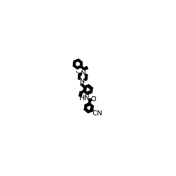 C=Cc1c(CN2CCN(C(=C)C3CCCCC3)[C@@H](C)C2)cccc1NC(=O)c1cccc(C#N)c1